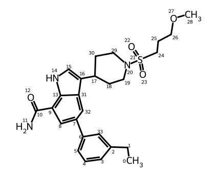 CCc1cccc(-c2cc(C(N)=O)c3[nH]cc(C4CCN(S(=O)(=O)CCCOC)CC4)c3c2)c1